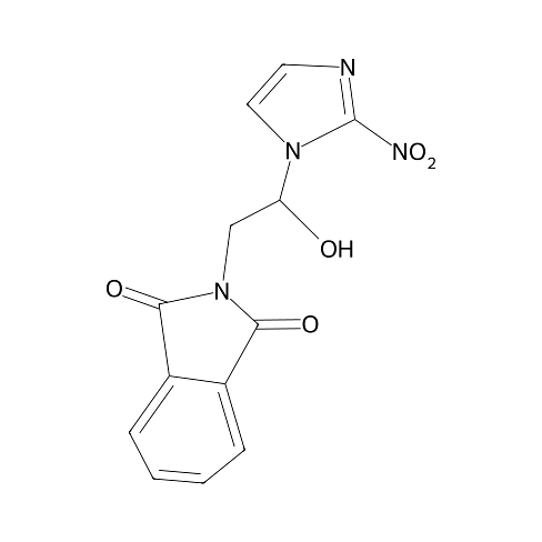 O=C1c2ccccc2C(=O)N1CC(O)n1ccnc1[N+](=O)[O-]